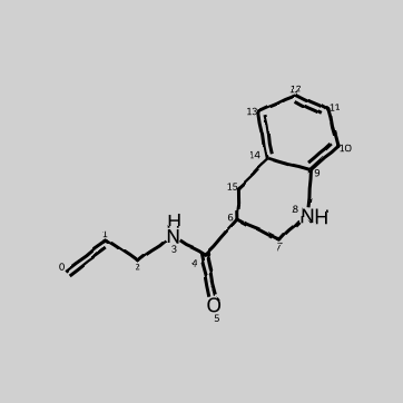 C=CCNC(=O)C1CNc2ccccc2C1